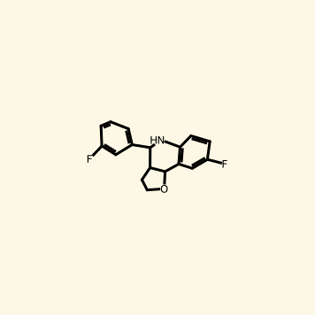 Fc1cccc(C2Nc3ccc(F)cc3C3OCCC23)c1